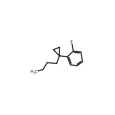 CCCCC1(c2cc[c]cc2F)CC1